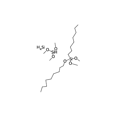 CCCCCCCCCO[Si](CCCCCCCC)(OC)OC.CO[SiH](OC)OC.[SiH4]